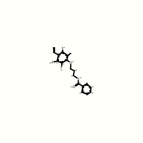 C=Cc1c(F)c(C)c(OCCCSC(=O)c2ccccc2)c(F)c1F